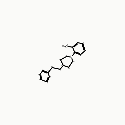 COc1ccccc1N1CCC(CCc2ccccc2)CC1